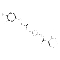 COC1NCCC=C1C(=O)NC12CC(NC(=O)COc3ccc(Cl)c(F)c3)(C1)C2